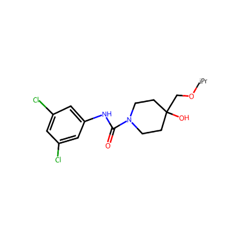 CC(C)OCC1(O)CCN(C(=O)Nc2cc(Cl)cc(Cl)c2)CC1